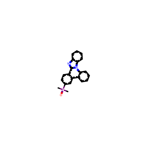 CP(C)(=O)c1ccc2c(c1)c1ccccc1n1c3ccccc3nc21